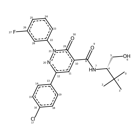 CC(C)(C)[C@@H](CO)NC(=O)c1cc(-c2ccc(Cl)cc2)nn(-c2cccc(F)c2)c1=O